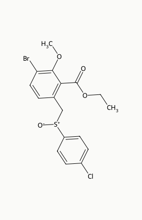 CCOC(=O)c1c(C[S+]([O-])c2ccc(Cl)cc2)ccc(Br)c1OC